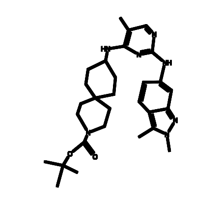 Cc1cnc(Nc2ccc3c(C)n(C)nc3c2)nc1NC1CCC2(CC1)CCN(C(=O)OC(C)(C)C)CC2